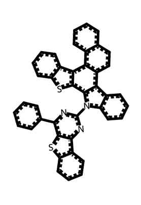 c1ccc(-c2nc(-n3c4ccccc4c4c5ccc6ccccc6c5c5c6ccccc6sc5c43)nc3c2sc2ccccc23)cc1